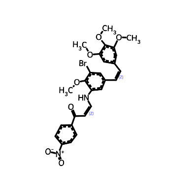 COc1cc(/C=C\c2cc(Br)c(OC)c(N/C=C\C(=O)c3ccc([N+](=O)[O-])cc3)c2)cc(OC)c1OC